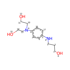 OCCCNc1ccc(N(CCO)CCO)cc1